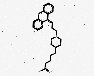 O=C(O)CCCCC1CCN(CCC=C2c3ccccc3Sc3ccccc32)CC1